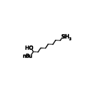 CCCCC(O)CCCCCCC[SiH3]